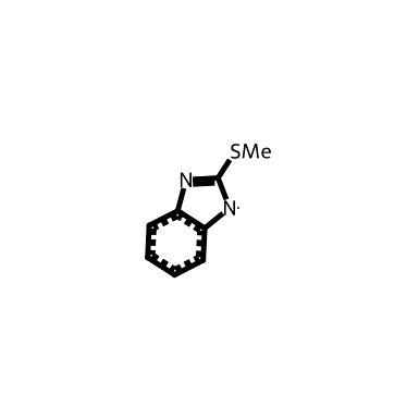 CSC1=Nc2ccccc2[N]1